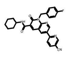 N#Cc1ccc(-c2cnc3c(c2)cc(C(=O)NC2CCCCC2)c(=O)n3Cc2ccc(F)cc2)nc1